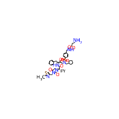 Cc1nc(CN2C(=O)CN([C@H](C(=O)N[C@@H](Cc3ccccc3)[C@@H](O)CN(CC3CCCC3)S(=O)(=O)c3ccc(CNOC(=O)CCN)cc3)C(C)C)C2=O)cs1